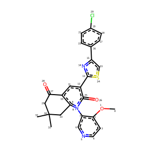 COc1ccncc1-n1c2c(cc(-c3nc(-c4ccc(Cl)cc4)cs3)c1=O)C(=O)CC(C)(C)C2